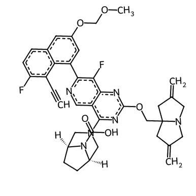 C#Cc1c(F)ccc2cc(OCOC)cc(-c3ncc4c(N5C[C@H]6CC[C@@H](C5)N6C(=O)O)nc(OCC56CC(=C)CN5CC(=C)C6)nc4c3F)c12